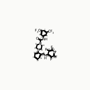 O=C(Nc1cc(C(F)(F)F)cc(C(F)(F)F)c1)N1CCN(c2ccccc2CNc2c(F)c(F)nc(F)c2F)CC1